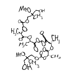 COC(C)(CO)COC(=O)O[C@@H](C)C(=O)O[C@@H](C)C(=O)OOC(=O)[C@@H](C)OC(=O)[C@@H](C)OC(=O)OCC(C)(CO)OC